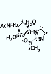 CC(=O)Nc1cccc(OC(C)C2=NCCN2)c1C.O